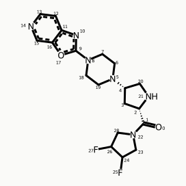 O=C([C@@H]1C[C@H](N2CCN(c3nc4ccncc4o3)CC2)CN1)N1CC(F)C(F)C1